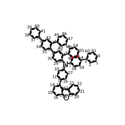 c1ccc(-c2ccc(N(c3ccc(-c4cccc5oc6ccccc6c45)cc3)c3ccc(-c4ccc(-c5ccccc5)cc4-c4ccccc4)cc3-c3ccccc3)cc2)cc1